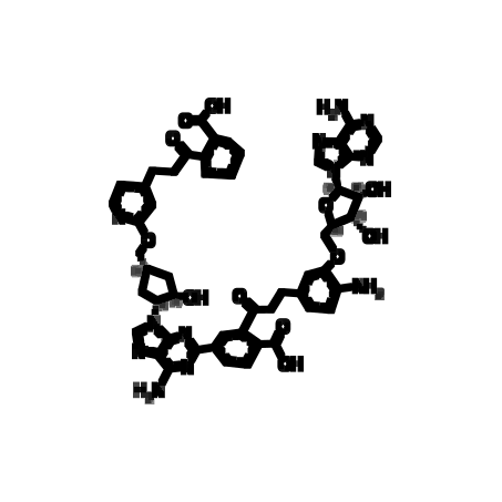 Nc1ccc(CCC(=O)c2cc(-c3nc(N)c4ncn([C@@H]5C[C@H](COc6cc(CCC(=O)c7ccccc7C(=O)O)ccn6)C[C@H]5O)c4n3)ccc2C(=O)O)cc1OC[C@H]1O[C@@H](n2cnc3c(N)ncnc32)[C@H](O)[C@@H]1O